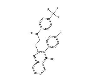 O=C(CSc1nc2cccnc2c(=O)n1-c1ccc(Cl)cc1)c1ccc(C(F)(F)F)cc1